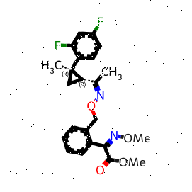 CON=C(C(=O)OC)c1ccccc1CON=C(C)[C@@H]1C[C@@]1(C)c1ccc(F)cc1F